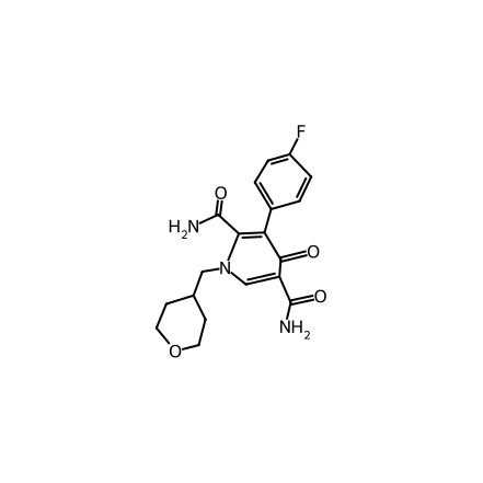 NC(=O)c1cn(CC2CCOCC2)c(C(N)=O)c(-c2ccc(F)cc2)c1=O